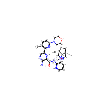 Nc1ncc(-c2nc(N3CCOCC3)ccc2C(F)(F)F)nc1C(=O)Nc1ncccc1N1C[C@H]2CC[C@@H](C1)C2NC(=O)O